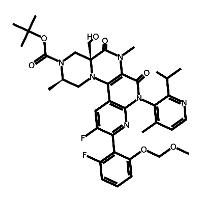 COCOc1cccc(F)c1-c1nc2c(cc1F)c1c(c(=O)n2-c2c(C)ccnc2C(C)C)N(C)C(=O)[C@@]2(CO)CN(C(=O)OC(C)(C)C)[C@H](C)CN12